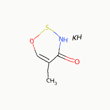 CC1=COSNC1=O.[KH]